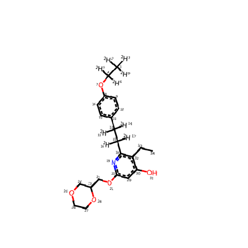 [2H]C([2H])([2H])C([2H])([2H])Oc1ccc(C([2H])([2H])C([2H])([2H])c2nc(OCC3COCCO3)cc(O)c2CC)cc1